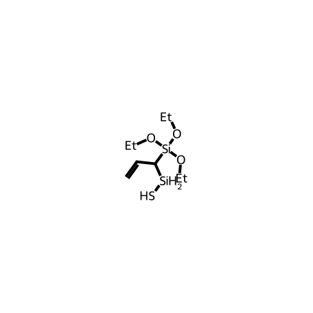 C=CC([SiH2]S)[Si](OCC)(OCC)OCC